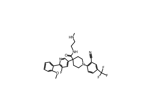 CNCCNC(=O)C1(c2cnc(-c3ccccc3OC)c(F)c2)CCN(c2ccc(C(F)(F)F)cc2C#N)CC1